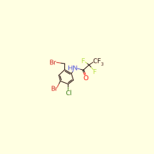 O=C(Nc1cc(Cl)c(Br)cc1CBr)C(F)(F)C(F)(F)F